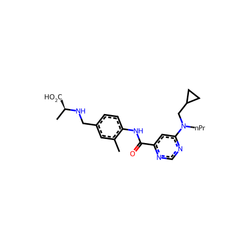 CCCN(CC1CC1)c1cc(C(=O)Nc2ccc(CN[C@@H](C)C(=O)O)cc2C)ncn1